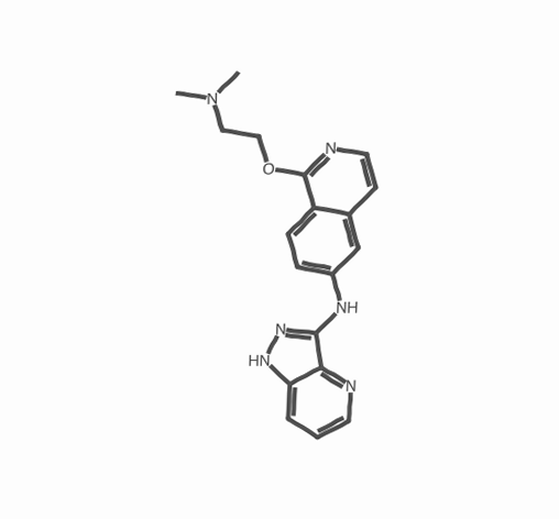 CN(C)CCOc1nccc2cc(Nc3n[nH]c4cccnc34)ccc12